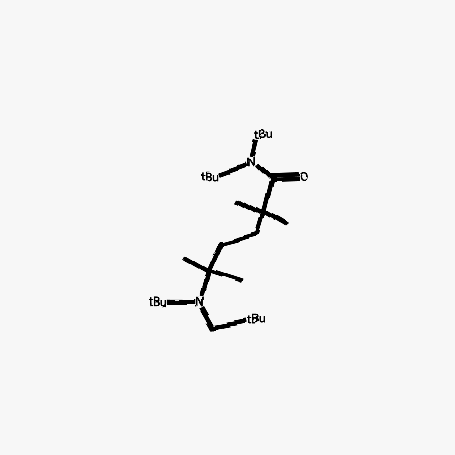 CC(C)(C)CN(C(C)(C)C)C(C)(C)CCC(C)(C)C(=O)N(C(C)(C)C)C(C)(C)C